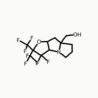 OCC12CCCN1C1C(C2)OC(C(F)(F)F)(C(F)(F)F)C1(F)F